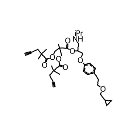 C#CCC(C)(C)C(=O)OCC(C)(COC(=O)C(C)(C)CC#C)C(=O)OC(CNC(C)C)COc1ccc(CCOCC2CC2)cc1